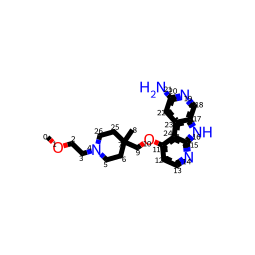 COCCN1CCC(C)(COc2ccnc3[nH]c4cnc(N)cc4c23)CC1